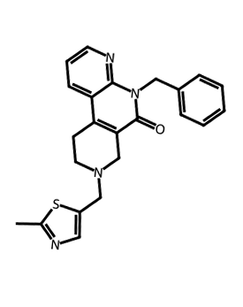 Cc1ncc(CN2CCc3c(c(=O)n(Cc4ccccc4)c4ncccc34)C2)s1